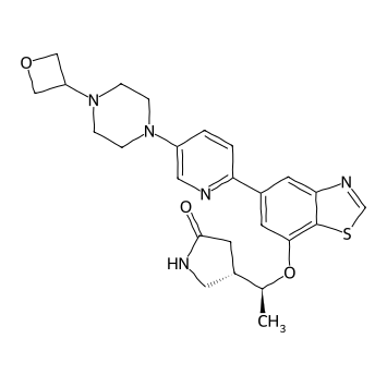 C[C@H](Oc1cc(-c2ccc(N3CCN(C4COC4)CC3)cn2)cc2ncsc12)[C@@H]1CNC(=O)C1